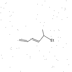 [CH]=CC=CC(C)CC